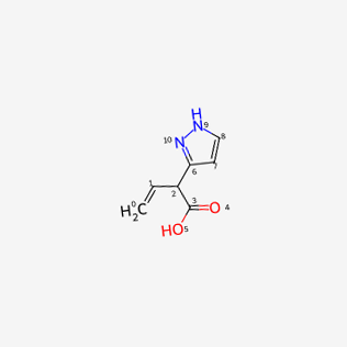 C=CC(C(=O)O)c1cc[nH]n1